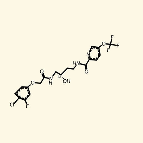 O=C(COc1ccc(Cl)c(F)c1)NC[C@@H](O)CCNC(=O)c1ccc(OC(F)(F)F)cn1